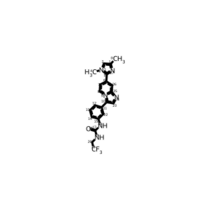 Cc1cn(C)c(-c2ccn3c(-c4cccc(NC(=O)NCC(F)(F)F)c4)cnc3c2)n1